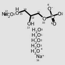 O.O.O.O.O.O.O=P([O-])([O-])OCC(O)CO.[Na+].[Na+]